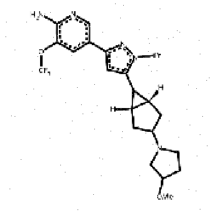 COC1CCN(C2C[C@@H]3C(c4cc(-c5cnc(N)c(OC(F)(F)F)c5)nn4C(C)C)[C@@H]3C2)C1